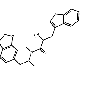 CC(Cc1ccc2c(c1)OCO2)N(C)C(=O)C(N)CC1=CCc2ccccc21